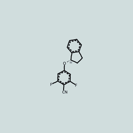 N#Cc1c(F)cc(O[C@H]2CCc3ccccc32)cc1F